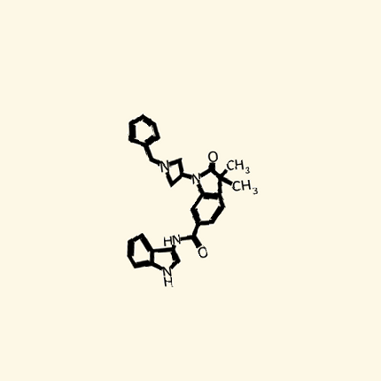 CC1(C)C(=O)N(C2CN(Cc3ccccc3)C2)c2cc(C(=O)Nc3c[nH]c4ccccc34)ccc21